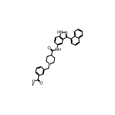 COC(=O)c1cccc(CN2CCC(C(=O)Nc3ccc4[nH]nc(-c5cccc6ccccc56)c4c3)CC2)c1